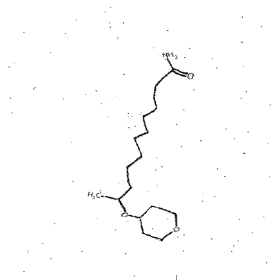 CC(CCCCCCCCC(N)=O)OC1CCOCC1